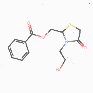 O=C(OCC1SCC(=O)N1CCBr)c1ccccc1